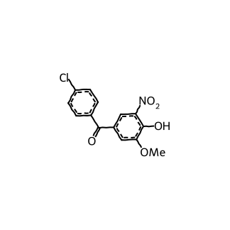 COc1cc(C(=O)c2ccc(Cl)cc2)cc([N+](=O)[O-])c1O